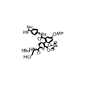 COc1ccc(-c2ccc(C(=O)N[C@H](CO)C(C)(C)C)nc2C(=O)OS(C)(=O)=O)c(C(=O)Nc2ccc(C(=N)N)cc2)c1